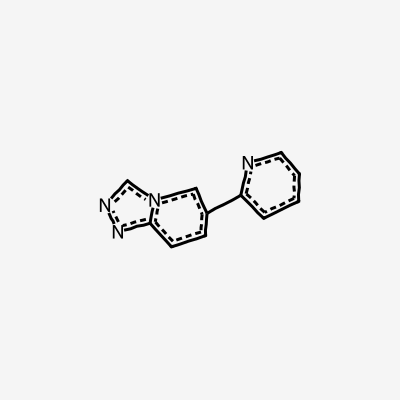 c1ccc(-c2ccc3nncn3c2)nc1